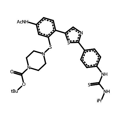 CC(=O)Nc1ccc(-c2cnc(-c3ccc(NC(=S)NC(C)C)cc3)s2)c(SN2CCN(C(=O)OC(C)(C)C)CC2)c1